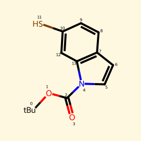 CC(C)(C)OC(=O)n1ccc2ccc(S)cc21